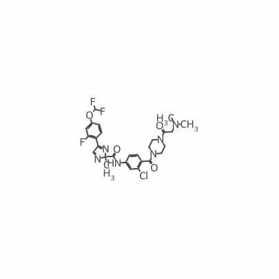 CN(C)CC(=O)N1CCN(C(=O)c2ccc(NC(=O)C3(C)N=CC(c4ccc(OC(F)F)cc4F)=N3)cc2Cl)CC1